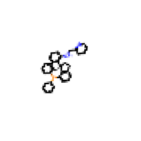 c1ccc(P(c2ccccc2)c2cccc3c2[C@]2(CCc4cccc(NCc5ccccn5)c42)CC3)cc1